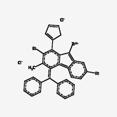 CCc1ccc2c(c1)=[C]([Zr+2])c1c(C3=CC=CC3)c(CC)c(C)c(=C(c3ccccc3)c3ccccc3)c1=2.[Cl-].[Cl-]